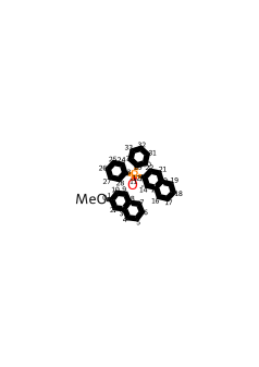 COc1[c]c2ccccc2cc1.O=P(c1[c]c2ccccc2cc1)(c1ccccc1)c1ccccc1